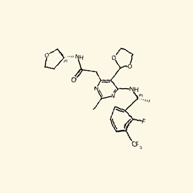 Cc1nc(CC(=O)N[C@@H]2CCOC2)c(C2OCCO2)c(N[C@H](C)c2cccc(C(F)(F)F)c2F)n1